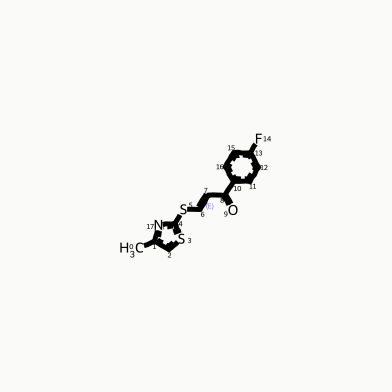 Cc1csc(S/C=C/C(=O)c2ccc(F)cc2)n1